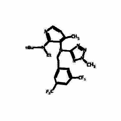 CCCCN(CC)c1nccc(C)c1N(Cc1cc(C(F)(F)F)cc(C(F)(F)F)c1)c1nnn(C)n1